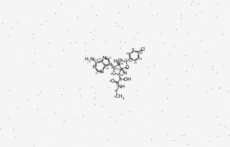 CCNC(=O)C(O)[C@H]1O[C@@H](n2cnc3c(N)ncnc32)[C@@H]2OC(c3ccc(Cl)cc3)O[C@@H]21